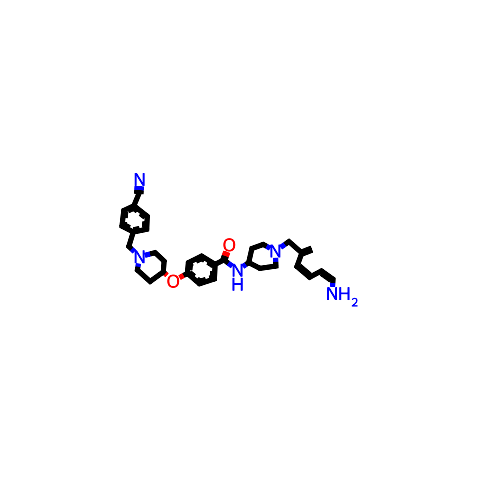 C=C(/C=C\C=C/N)CN1CCC(NC(=O)c2ccc(OC3CCN(Cc4ccc(C#N)cc4)CC3)cc2)CC1